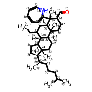 CCC1C[C@H]2C(C)(C3=CC=CC=CN3)C(C=O)CC[C@]2(C)[C@H]2CC[C@]3(C)[C@@H]([C@H](C)CCCC(C)C)CC[C@H]3[C@H]12